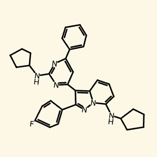 Fc1ccc(-c2nn3c(NC4CCCC4)cccc3c2-c2cc(-c3ccccc3)nc(NC3CCCC3)n2)cc1